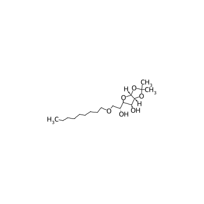 CCCCCCCCCOC[C@@H](O)[C@H]1O[C@@H]2OC(C)(C)O[C@@H]2[C@H]1O